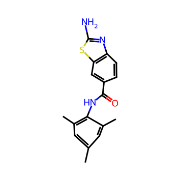 Cc1cc(C)c(NC(=O)c2ccc3nc(N)sc3c2)c(C)c1